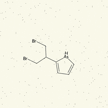 BrCC(CBr)C1=CC=C[AsH]1